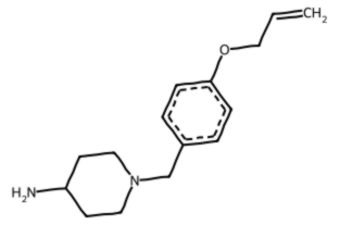 C=CCOc1ccc(CN2CCC(N)CC2)cc1